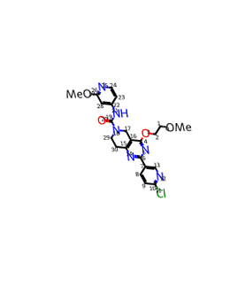 COCCOc1nc(-c2ccc(Cl)nc2)nc2c1CN(C(=O)Nc1ccnc(OC)c1)CC2